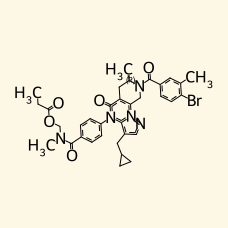 CCC(=O)OCN(C)C(=O)c1ccc(-n2c(=O)c3c(n4ncc(CC5CC5)c24)CN(C(=O)c2ccc(Br)c(C)c2)[C@H](C)C3)cc1